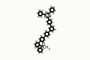 CC1(c2ccccc2)Oc2cc(-c3ccc(-c4cccc(-c5ccc(-c6nc(-c7ccccc7)nc(-c7ccccc7)n6)cc5)c4)cc3)ccc2-c2ccccc21